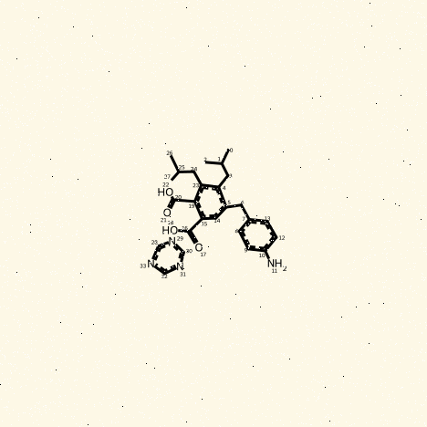 CC(C)Cc1c(Cc2ccc(N)cc2)cc(C(=O)O)c(C(=O)O)c1CC(C)C.c1ncncn1